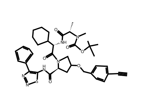 C#Cc1ccc(COC2C[C@@H](C(=O)Nc3snnc3-c3ccccc3)N(C(=O)[C@@H](NC(=O)[C@H](C)N(C)C(=O)OC(C)(C)C)C3CCCCC3)C2)cc1